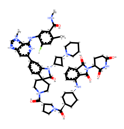 Cc1cc(F)c(Nc2nc(-c3ccc4c(c3)N([C@H]3C[C@@H](N5CCCCC5)C3)C(=O)C43CCN(C(=O)[C@H]4CCN(C(=O)[C@H]5CC[C@H](Nc6cccc7c6C(=O)N(C6CCC(=O)NC6=O)C7=O)CC5)C4)CC3)cc3ncn(C(C)C)c23)cc1C(=O)NC(C)C